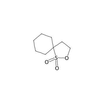 O=S1(=O)OCCC12CCCCC2